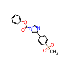 CS(=O)(=O)c1ccc(-c2cn(C(=O)Oc3ccccc3)cn2)cc1